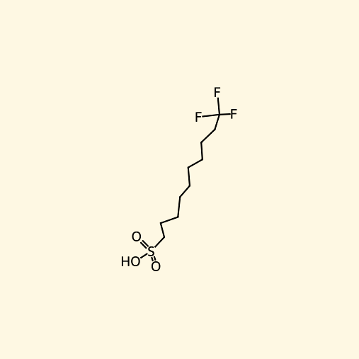 O=S(=O)(O)CCCCCCCCCC(F)(F)F